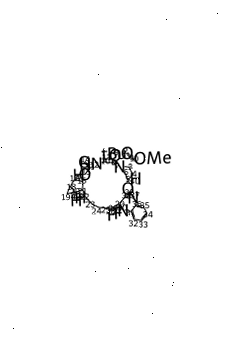 COC(=O)[C@@H]1C[C@@H]2CN1C(=O)[C@H](C(C)(C)C)NC(=O)O[C@@H]1CC3C[C@@H]3[C@H]1CCCCC(F)(F)c1nc3ccccc3nc1O2